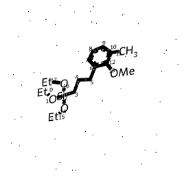 CCO[Si](CCCc1cccc(C)c1OC)(OCC)OCC